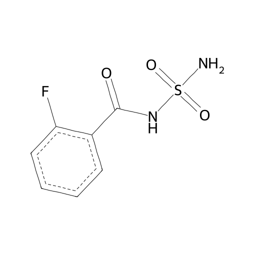 NS(=O)(=O)NC(=O)c1ccccc1F